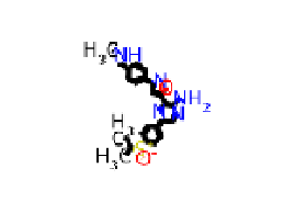 CCC(C)[S+]([O-])c1ccc(-c2cnc(N)c(-c3cc(-c4ccc(CNC)cc4)no3)n2)cc1